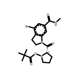 CNC(=O)c1cc(Br)c2c(c1)N(C(=O)[C@@H]1CCCN1OC(=O)C(C)(C)C)CC2